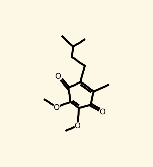 COC1=C(OC)C(=O)C(CCC(C)C)=C(C)C1=O